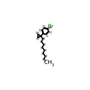 CCCCCCCCCC1(c2ccc(Br)cc2)CC1